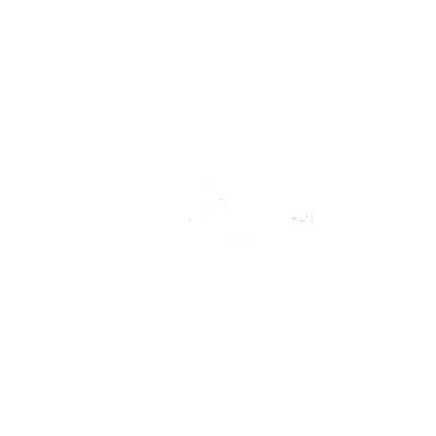 N#CC(F)(F)C(F)(F)C(F)(F)OC(F)(C(F)(F)F)C(F)(F)OC(F)=C(F)F